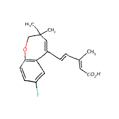 CC(C=CC1=CC(C)(C)COc2ccc(F)cc21)=CC(=O)O